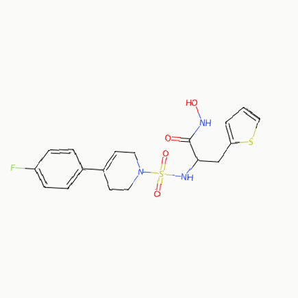 O=C(NO)C(Cc1cccs1)NS(=O)(=O)N1CC=C(c2ccc(F)cc2)CC1